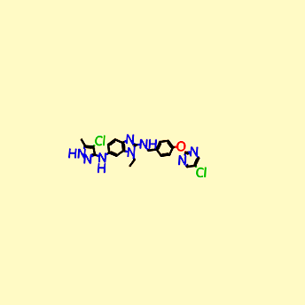 CCn1c(NCc2ccc(Oc3ncc(Cl)cn3)cc2)nc2ccc(Nc3n[nH]c(C)c3Cl)cc21